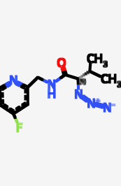 CC(C)[C@H](N=[N+]=[N-])C(=O)NCc1cc(F)ccn1